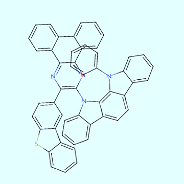 c1ccc(-n2c3ccccc3c3ccc4c5ccccc5n(-c5nc6c7ccccc7c7ccccc7c6nc5-c5ccc6sc7ccccc7c6c5)c4c32)cc1